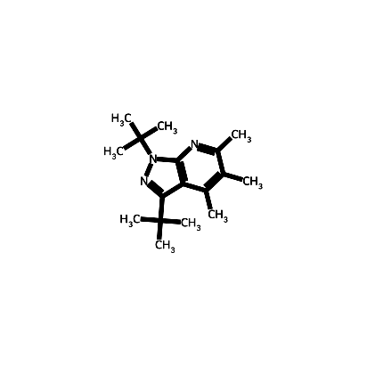 Cc1nc2c(c(C(C)(C)C)nn2C(C)(C)C)c(C)c1C